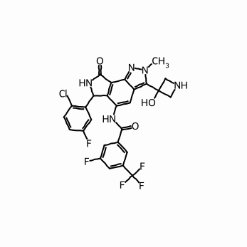 Cn1nc2c3c(c(NC(=O)c4cc(F)cc(C(F)(F)F)c4)cc2c1C1(O)CNC1)C(c1cc(F)ccc1Cl)NC3=O